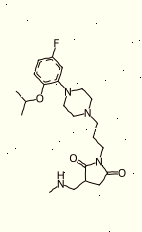 CNCC1CC(=O)N(CCCN2CCN(c3cc(F)ccc3OC(C)C)CC2)C1=O